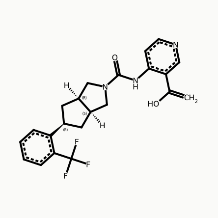 C=C(O)c1cnccc1NC(=O)N1C[C@H]2C[C@@H](c3ccccc3C(F)(F)F)C[C@H]2C1